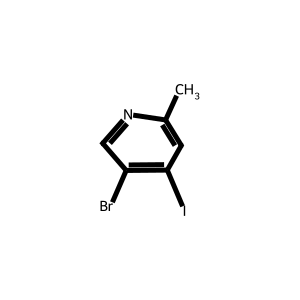 Cc1cc(I)c(Br)cn1